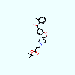 Cc1ccccc1C(=O)c1ccc2c(c1)OCC21CCN(CCC(=O)OC(C)(C)C)CC1